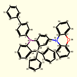 c1ccc(-c2ccc(P3c4ccccc4[Si](c4ccccc4)(c4ccccc4)c4cc(N5c6ccccc6Oc6ccccc65)ccc43)cc2)cc1